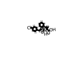 O=C(O)[C@]1(NS(=O)(=O)C=Cc2ccc(Cl)cc2)C[C@@H]1c1ccccc1